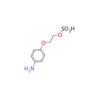 Nc1ccc(OCCOS(=O)(=O)O)cc1